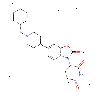 O=C1CCC(n2c(=O)oc3cc(C4CCN(CC5CCCCC5)CC4)ccc32)C(=O)N1